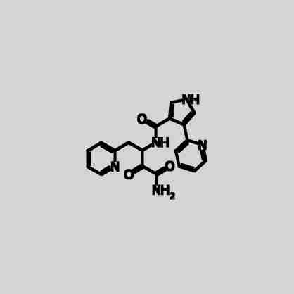 NC(=O)C(=O)C(Cc1ccccn1)NC(=O)c1c[nH]cc1-c1ccccn1